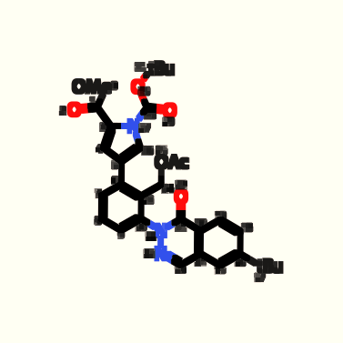 COC(=O)c1cc(-c2cccc(-n3ncc4cc(C(C)(C)C)ccc4c3=O)c2COC(C)=O)cn1C(=O)OC(C)(C)C